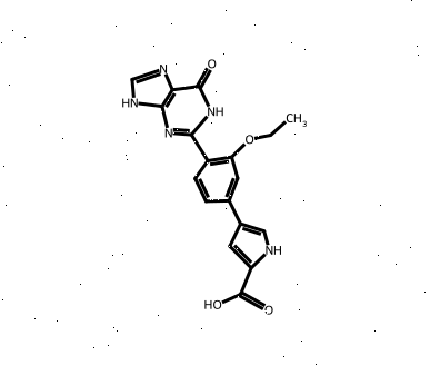 CCOc1cc(-c2c[nH]c(C(=O)O)c2)ccc1-c1nc2[nH]cnc2c(=O)[nH]1